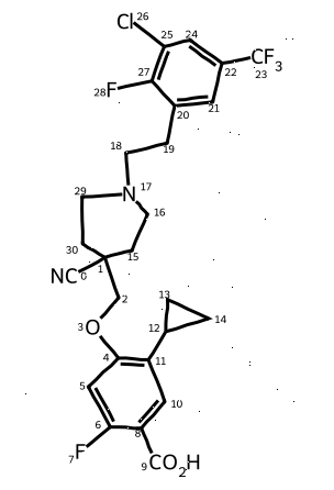 N#CC1(COc2cc(F)c(C(=O)O)cc2C2CC2)CCN(CCc2cc(C(F)(F)F)cc(Cl)c2F)CC1